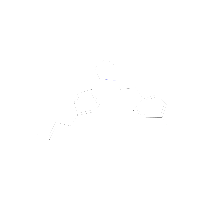 O=C(O)/C=C/Cc1ccc([C@@H]2CCCN2CCc2ccc(Cl)cc2)cc1